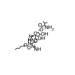 CCCCCOC(=O)N/C(=N/C=N)c1ccc([C@]2(C#N)O[C@H](COC(=O)[C@@H](N)C(C)C)[C@@H](O)[C@H]2O)[nH]1